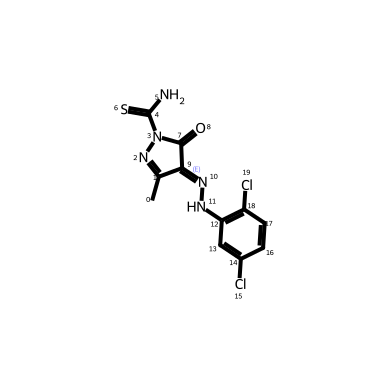 CC1=NN(C(N)=S)C(=O)/C1=N/Nc1cc(Cl)ccc1Cl